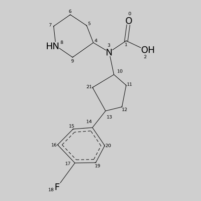 O=C(O)N(C1CCCNC1)C1CCC(c2ccc(F)cc2)C1